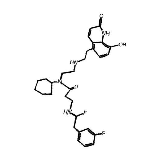 O=C(CCNC(F)Cc1cccc(F)c1)N(CCNCCc1ccc(O)c2[nH]c(=O)ccc12)C1CCCCC1